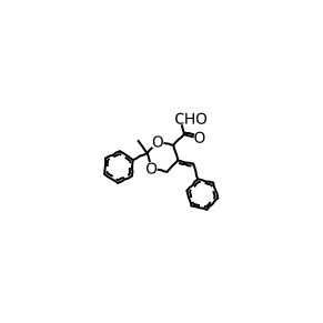 CC1(c2ccccc2)OCC(=Cc2ccccc2)C(C(=O)C=O)O1